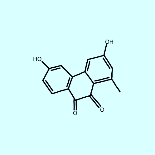 O=C1C(=O)c2c(I)cc(O)cc2-c2cc(O)ccc21